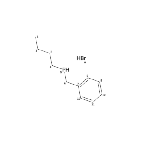 Br.CCCCPCc1ccccc1